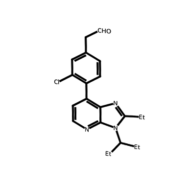 CCc1nc2c(-c3ccc(CC=O)cc3Cl)ccnc2n1C(CC)CC